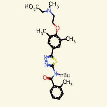 CCCCN(C(=O)c1ccccc1C)c1nnc(-c2cc(C)c(OCCN(C)CC(=O)O)c(C)c2)s1